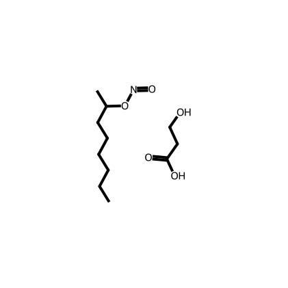 CCCCCCC(C)ON=O.O=C(O)CCO